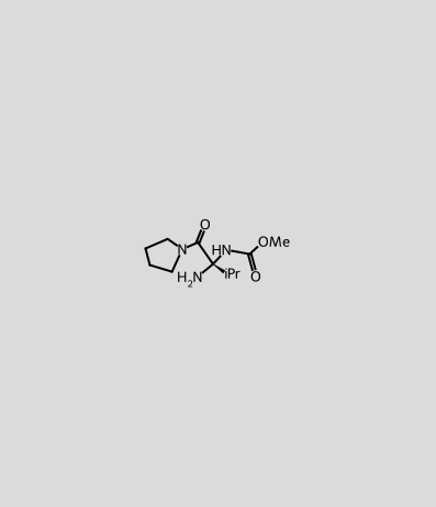 COC(=O)N[C@](N)(C(=O)N1CCCC1)C(C)C